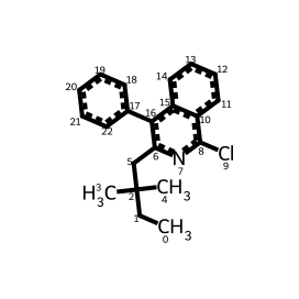 CCC(C)(C)Cc1nc(Cl)c2ccccc2c1-c1ccccc1